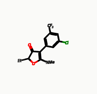 CCC1OC(NC)=C(c2cc(Cl)cc(C(F)(F)F)c2)C1=O